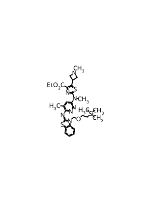 CCOC(=O)c1nc(N(C)c2cc(C)c(N=c3sc4ccccc4n3COCC[Si](C)(C)C)nn2)sc1C1CN(C)C1